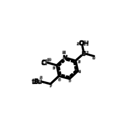 CB(O)c1ccc(CC(C)(C)C)c(Cl)n1